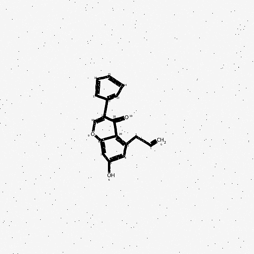 C=CCc1cc(O)cc2occ(-c3ccccc3)c(=O)c12